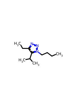 CCCCn1nnc(CC)c1C(C)C